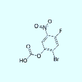 O=C(O)Oc1cc([N+](=O)[O-])c(F)cc1Br